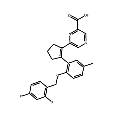 Cc1ccc(OCc2ccc(F)cc2F)c(C2=C(c3cncc(C(=O)O)n3)CCC2)c1